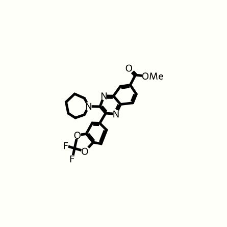 COC(=O)c1ccc2nc(-c3ccc4c(c3)OC(F)(F)O4)c(N3CCCCCC3)nc2c1